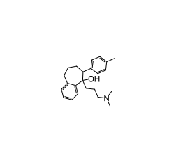 Cc1ccc(C2CCCc3ccccc3C2(O)CCCN(C)C)cc1